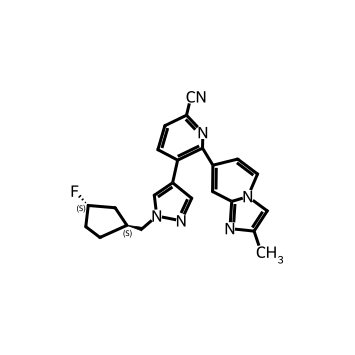 Cc1cn2ccc(-c3nc(C#N)ccc3-c3cnn(C[C@H]4CC[C@H](F)C4)c3)cc2n1